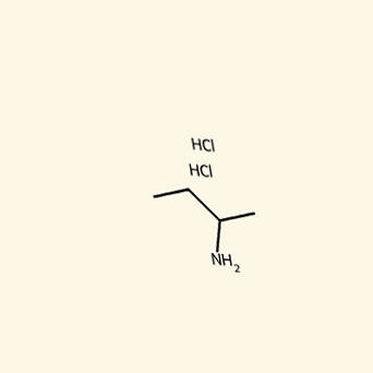 CCC(C)N.Cl.Cl